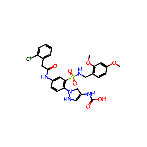 COc1ccc(CNS(=O)(=O)c2cc(NC(=O)Cc3ccccc3Cl)ccc2N2CC(NC(=O)O)=CN2)c(OC)c1